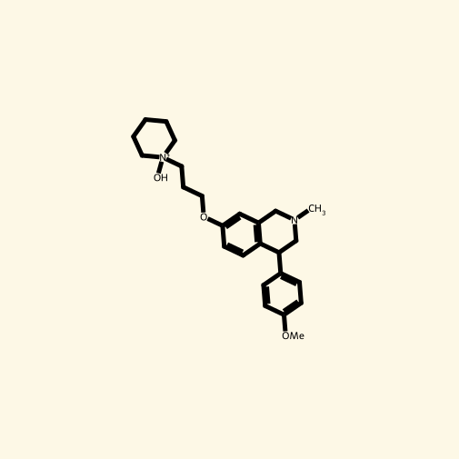 COc1ccc(C2CN(C)Cc3cc(OCCC[N+]4(O)CCCCC4)ccc32)cc1